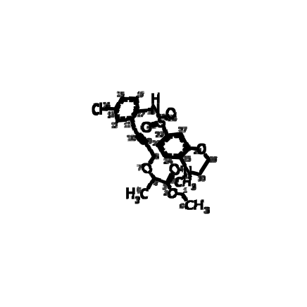 CCOC(=O)C(C)OCC#Cc1cc(Cl)ccc1NS(=O)(=O)c1ccc2c(c1)OCCN2C